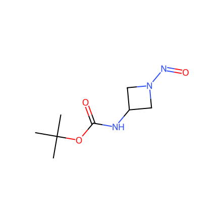 CC(C)(C)OC(=O)NC1CN(N=O)C1